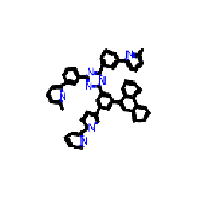 Cc1cccc(-c2cccc(-c3nc(-c4cccc(-c5cccc(C)n5)c4)nc(-c4cc(-c5ccc(-c6ccccn6)nc5)cc(-c5cc6ccccc6c6ccccc56)c4)n3)c2)n1